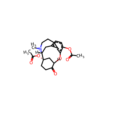 CC(=O)Oc1ccc2c3c1O[C@@H]1C[C@@](OC(C)=O)(CCC1=O)[C@@H](C2)N(C)CCC3